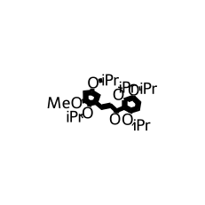 COc1cc(OC(C)C)cc(/C=C/C(=O)c2c(OC(C)C)ccc(OC(C)C)c2OC(C)C)c1OC(C)C